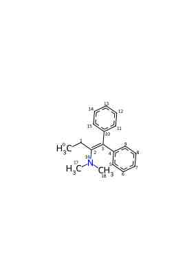 CCC(=C(c1ccccc1)c1ccccc1)N(C)C